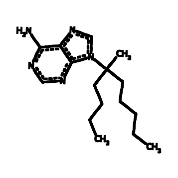 CCCCCC(C)(CCCC)n1cnc2c(N)ncnc21